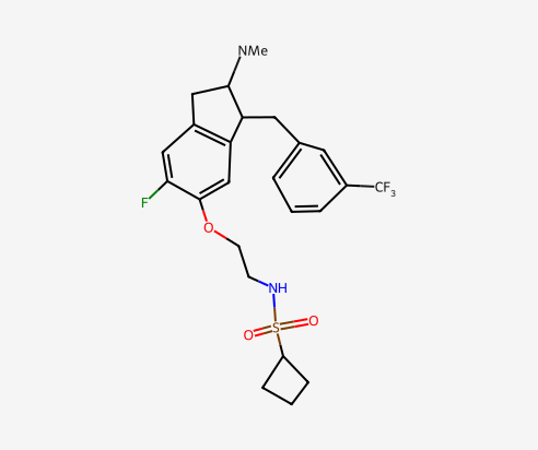 CNC1Cc2cc(F)c(OCCNS(=O)(=O)C3CCC3)cc2C1Cc1cccc(C(F)(F)F)c1